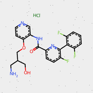 Cl.NCC(CO)COc1ccncc1NC(=O)c1ccc(F)c(-c2c(F)cccc2F)n1